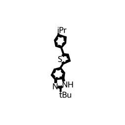 CC(C)c1ccc(-c2ccc(-c3ccc4nc(C(C)(C)C)[nH]c4c3)s2)cc1